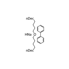 CCCCCCCCCCCCCCOCCCCCCCCCCCCCC.[NaH].c1ccc(-c2ccccc2)cc1